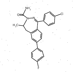 CC1Cc2cc(-c3ccc(F)cc3)ccc2C(c2ccc(Cl)cc2)=NN1C(N)=O